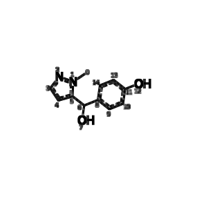 Cn1nccc1C(O)c1ccc(O)cc1